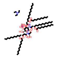 CCCCCCCCCCC[C@H](CC(=O)N[C@@H](CO)CO[C@@H]1O[C@H](CO)[C@@H](OP(=O)(O)O)[C@H](OC(=O)C[C@@H](CCCCCCCCCCC)OC(=O)CCCCCCCCCC)[C@H]1NC(=O)C[C@@H](CCCCCCCCCCC)OC(=O)CCCCCCCCCC)OC(=O)CCCCCCCCCC.CCN(CC)CC